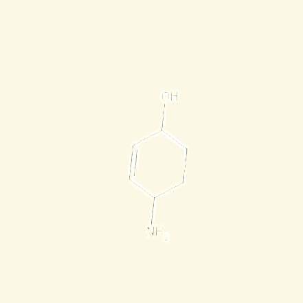 NC1C=CC(O)CC1